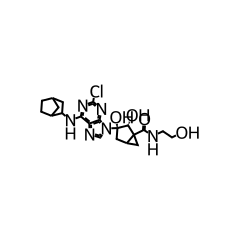 O=C(NCCO)C12CC1C[C@](O)(n1cnc3c(NC4CC5CCC4C5)nc(Cl)nc31)[C@@H]2O